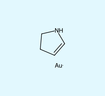 C1=CNCC1.[Au]